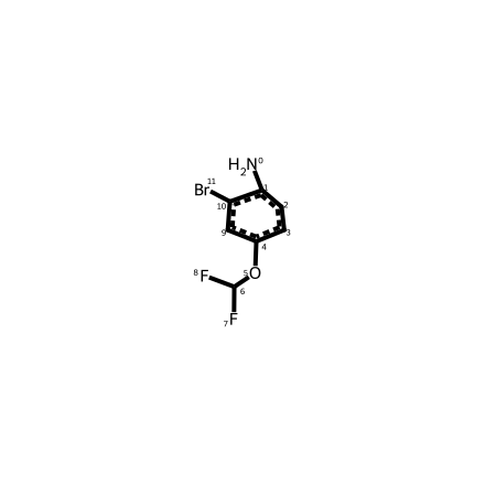 Nc1ccc(OC(F)F)cc1Br